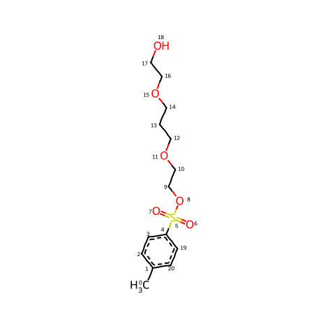 Cc1ccc(S(=O)(=O)OCCOCCCOCCO)cc1